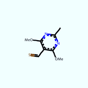 COc1nc(C)nc(OC)c1C=S